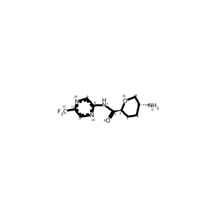 N[C@@H]1CC[C@@H](C(=O)Nc2cnc(C(F)(F)F)cn2)OC1